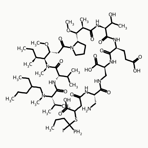 CCCC(CC)CN(C)[C@H](C(=O)N[C@H](C(=O)N(C)[C@@H]([C@@H](C)CC)[C@@H](CC(=O)N1CCC[C@H]1C(OC)[C@@H](C)C(=O)N[C@H](C(=O)N[C@@H](CCC(=O)O)C(=O)N[C@@H](CNC(=O)[C@H](CN)NC(=O)CC(SC(P)(I)CCC)C(=O)O)C(=O)O)C(C)O)OC)C(C)C)C(C)C